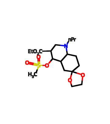 CCCN1CC(C(=O)OCC)C(OS(C)(=O)=O)C2CC3(CCC21)OCCO3